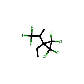 CCC1(C(C)C(F)(F)F)C(Cl)(Cl)C1(Cl)Cl